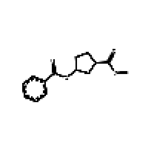 COC(=O)C1CCC(OC(=O)c2ccccc2)C1